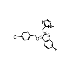 Fc1ccc2c(c1)S[C@@H](Cc1ncc[nH]1)[C@H]2OCc1ccc(Cl)cc1